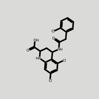 O=C(Cc1ccccc1Cl)NC1CC(C(=O)O)Nc2cc(Cl)cc(Cl)c21